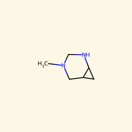 CN1CNC2CC2C1